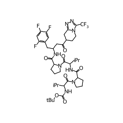 CC(C)C(NC(=O)OC(C)(C)C)C(=O)N1CCCC1C(=O)NC(C(=O)N1CCCC1C(=O)NC(CC(=O)C1CCn2c(nnc2C(F)(F)F)C1)Cc1cc(F)c(F)cc1F)C(C)C